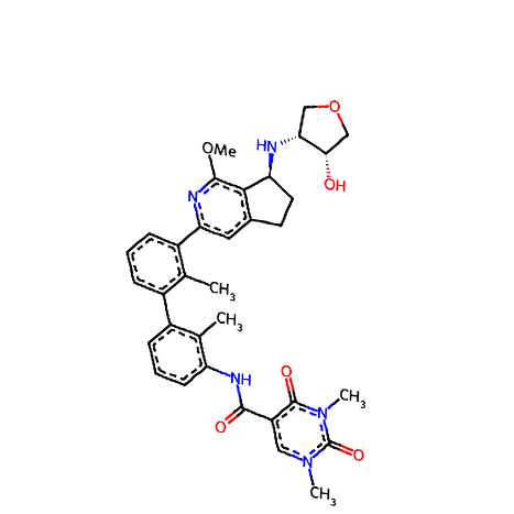 COc1nc(-c2cccc(-c3cccc(NC(=O)c4cn(C)c(=O)n(C)c4=O)c3C)c2C)cc2c1[C@@H](N[C@@H]1COC[C@@H]1O)CC2